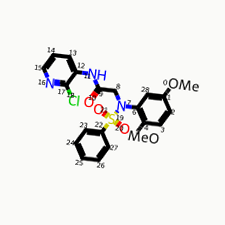 COc1ccc(OC)c(N(CC(=O)Nc2cccnc2Cl)S(=O)(=O)c2ccccc2)c1